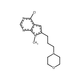 Cn1c(CCCN2CCOCC2)cc2c(Cl)ncnc21